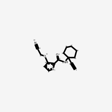 C#CC1(NC(=O)c2sccc2OCC#N)CCCCC1